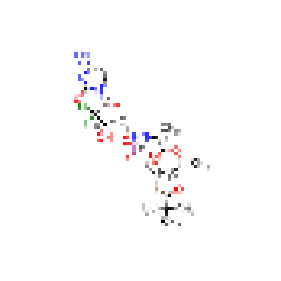 CC(C)OC(=O)[C@@H](C)N[P@@](=O)(OCCSC(=O)C(C)(C)C)OC[C@H]1O[C@@H](n2ccc(N)nc2=O)[C@@](F)(Cl)[C@@H]1O